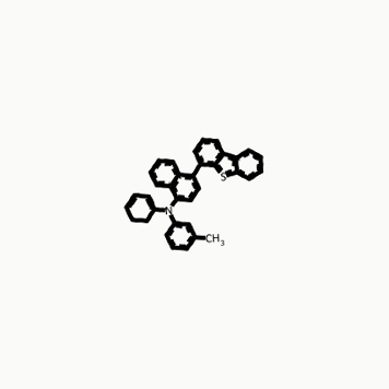 Cc1cccc(N(C2=CC=CCC2)c2ccc(-c3cccc4c3sc3ccccc34)c3ccccc23)c1